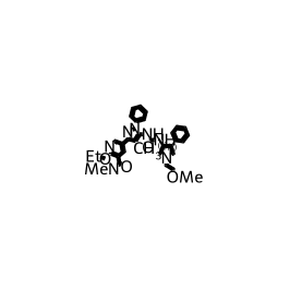 CCOc1ncc(-c2nn(-c3ccccc3)c(NC(=O)N[C@@H]3CN(CCOC)C[C@H]3c3ccccc3)c2C)cc1C(=O)NC